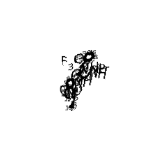 CC(C)NCCC(Nc1cccc2c1C(=O)N(CC1CC1)CCO2)C(=O)NCc1ccccc1C(F)(F)F